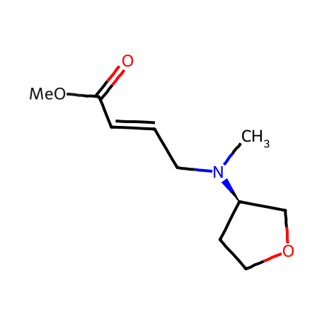 COC(=O)C=CCN(C)[C@@H]1CCOC1